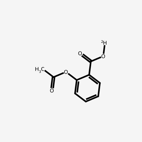 [2H]OC(=O)c1ccccc1OC(C)=O